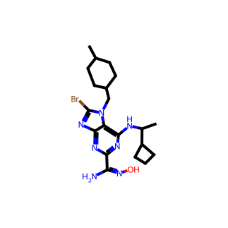 CC1CCC(Cn2c(Br)nc3nc(/C(N)=N\O)nc(NC(C)C4CCC4)c32)CC1